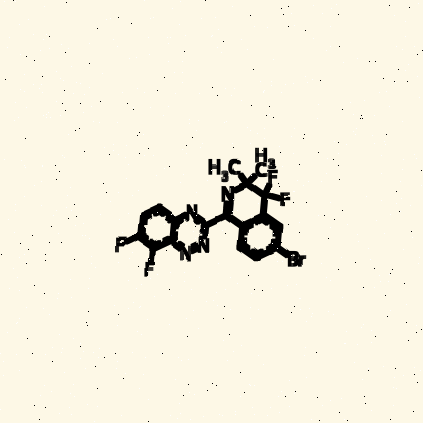 CC1(C)N=C(c2nnc3c(F)c(F)ccc3n2)c2ccc(Br)cc2C1(F)F